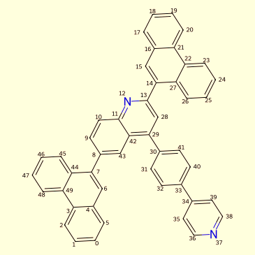 c1ccc2c(c1)cc(-c1ccc3nc(-c4cc5ccccc5c5ccccc45)cc(-c4ccc(-c5ccncc5)cc4)c3c1)c1ccccc12